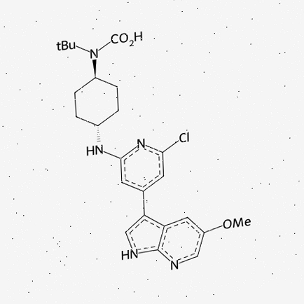 COc1cnc2[nH]cc(-c3cc(Cl)nc(N[C@H]4CC[C@H](N(C(=O)O)C(C)(C)C)CC4)c3)c2c1